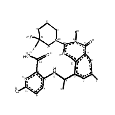 Cc1cc(C(C)Nc2ccc(Cl)nc2C(=O)O)c2nc(N3CCCC(F)(F)C3)n(C)c(=O)c2c1